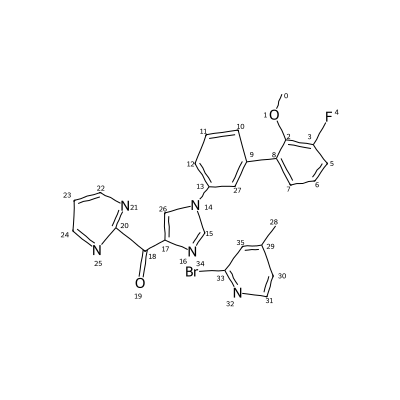 COc1c(F)cccc1-c1cccc(-n2cnc(C(=O)c3ncccn3)c2)c1.Cc1ccnc(Br)c1